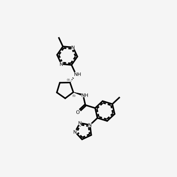 Cc1ccc(-n2ccnn2)c(C(=O)N[C@H]2CCC[C@@H]2Nc2cnc(C)cn2)c1